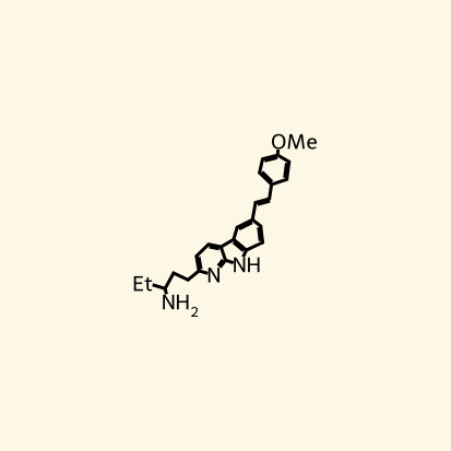 CCC(N)CCc1ccc2c(n1)[nH]c1ccc(C=Cc3ccc(OC)cc3)cc12